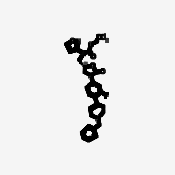 O=C1O[C@@H](CN(C(=O)OCC(Cl)(Cl)Cl)c2ccon2)CN1c1ccc(C2=CCN(Cc3ccccc3)CC2)c(F)c1